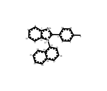 Cc1ccc(-c2nc3ccccc3n2-c2cccc3ccccc23)cc1